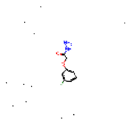 NNC(=O)COc1cccc(F)c1